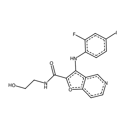 O=C(NCCO)c1oc2ccncc2c1Nc1ccc(I)cc1F